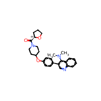 CN(C)c1c(-c2ccc(OC3CCN(C(=O)[C@H]4CCCO4)CC3)cc2)cnc2ccccc12